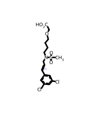 CS(=O)(=O)N(C/C=C/c1cc(Cl)cc(Cl)c1)CCCCOCC(=O)O